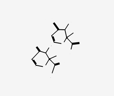 CC1(C(=O)[O-])OC=CC(=O)C1O.CC1(C(=O)[O-])OC=CC(=O)C1O.[Zn+2]